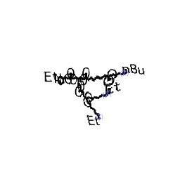 CC/C=C\CCCCOC(CCC(=O)OCC(COC(=O)CCCCCCC(=O)OCC/C=C\CCCC)COC(=O)OCC1CCCN(CC)C1)OCCCC/C=C\CC